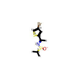 C/C(=N\[S@+]([O-])C(C)C)c1cc(Br)cs1